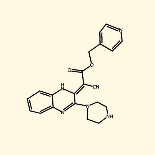 N#C/C(C(=O)OCc1ccncc1)=C1/Nc2ccccc2N=C1N1CCNCC1